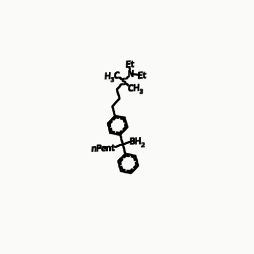 BC(CCCCC)(c1ccccc1)c1ccc(CCCS(C)(C)N(CC)CC)cc1